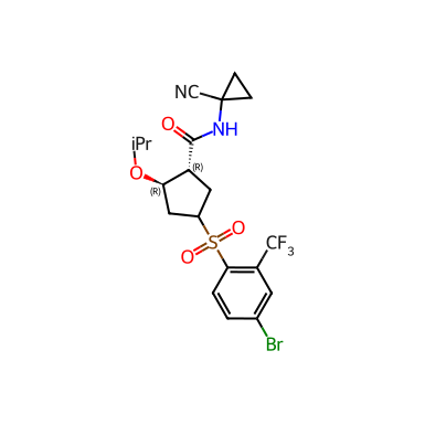 CC(C)O[C@@H]1CC(S(=O)(=O)c2ccc(Br)cc2C(F)(F)F)C[C@H]1C(=O)NC1(C#N)CC1